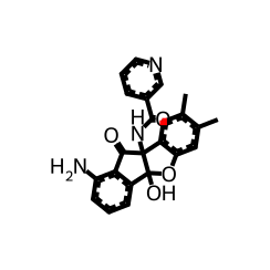 Cc1cc2c(cc1C)C1(NC(=O)c3cccnc3)C(=O)c3c(N)cccc3C1(O)O2